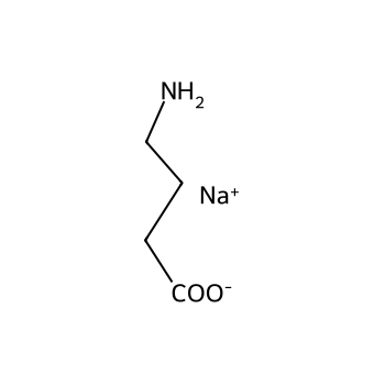 NCCCC(=O)[O-].[Na+]